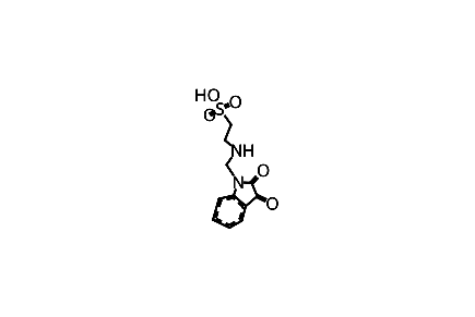 O=C1C(=O)N(CNCCS(=O)(=O)O)c2ccccc21